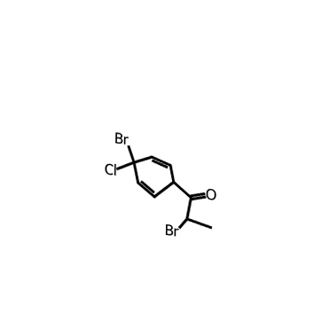 CC(Br)C(=O)C1C=CC(Cl)(Br)C=C1